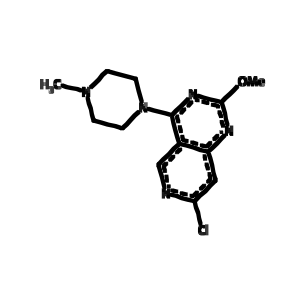 COc1nc(N2CCN(C)CC2)c2cnc(Cl)cc2n1